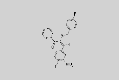 O=C(C(SCc1ccc(F)cc1)=C(I)c1ccc(F)c([N+](=O)[O-])c1)c1ccccc1